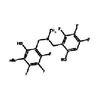 CCCCc1c(O)c(CN(C)Cc2c(O)cc(F)c(F)c2F)c(F)c(F)c1F